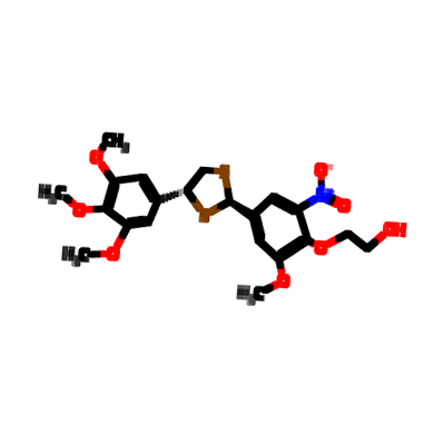 COc1cc([C@@H]2CS[C@@H](c3cc(OC)c(OCCO)c([N+](=O)[O-])c3)S2)cc(OC)c1OC